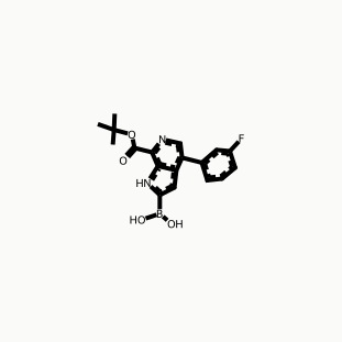 CC(C)(C)OC(=O)c1ncc(-c2cccc(F)c2)c2cc(B(O)O)[nH]c12